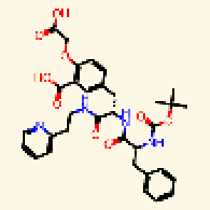 CC(C)(C)OC(=O)N[C@@H](Cc1ccccc1)C(=O)N[C@@H](Cc1ccc(OCC(=O)O)c(C(=O)O)c1)C(=O)NCCc1ccccn1